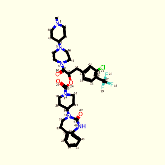 CN1CCC(N2CCN(C(=O)C(Cc3ccc(C(F)(F)F)c(Cl)c3)OC(=O)N3CCC(N4CCc5ccccc5NC4=O)CC3)CC2)CC1